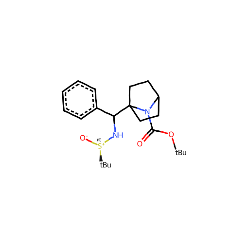 CC(C)(C)OC(=O)N1C2CCC1(C(N[S@+]([O-])C(C)(C)C)c1ccccc1)CC2